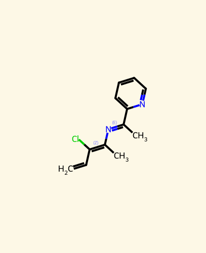 C=C/C(Cl)=C(C)/N=C(\C)c1ccccn1